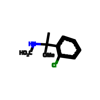 COC(C)(NC(=O)O)c1ccccc1Cl